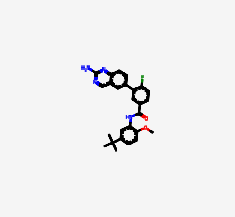 COc1ccc(C(C)(C)C)cc1NC(=O)c1ccc(F)c(-c2ccc3nc(N)ncc3c2)c1